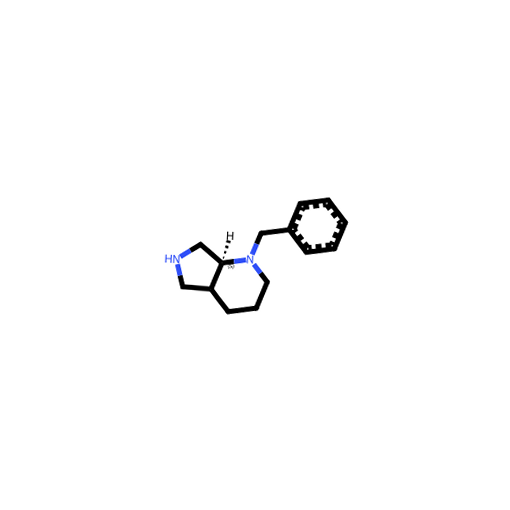 c1ccc(CN2CCCC3CNC[C@H]32)cc1